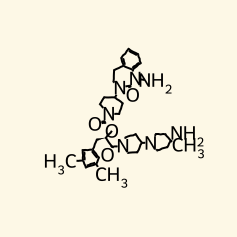 Cc1cc(C)cc(C[C@@H](OC(=O)N2CCC(N3CCc4ccccc4N(N)C3=O)CC2)C(=O)N2CCC(N3CCC(C)(N)CC3)CC2)c1